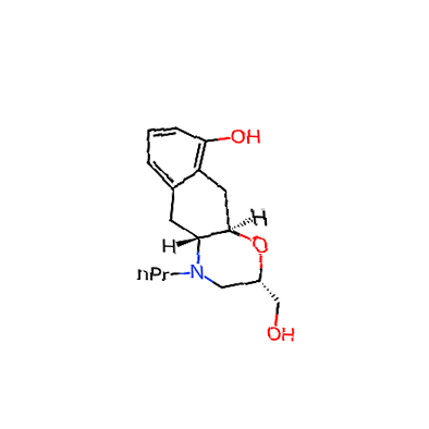 CCCN1C[C@@H](CO)O[C@@H]2Cc3c(O)cccc3C[C@H]21